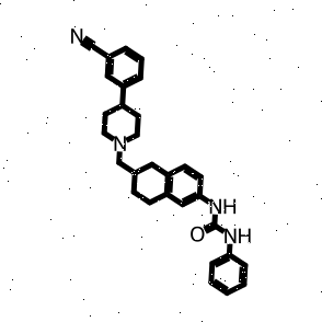 N#Cc1cccc(C2CCN(CC3CCc4cc(NC(=O)Nc5ccccc5)ccc4C3)CC2)c1